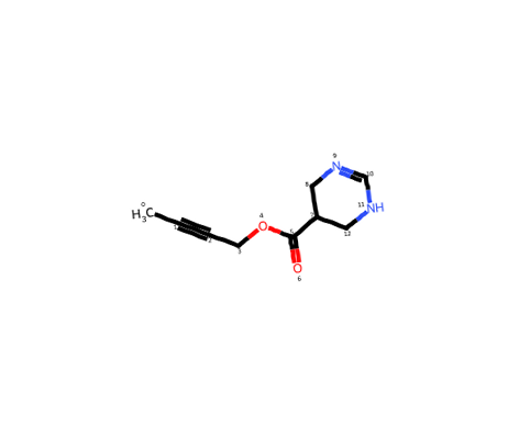 CC#CCOC(=O)C1CN=CNC1